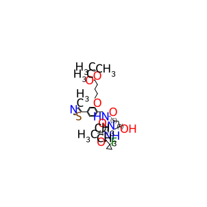 Cc1ncsc1-c1ccc(CNC(=O)[C@@H]2C[C@@H](O)CN2C(=O)[C@@H](NC(=O)C2(F)CC2)C(C)(C)C)c(OCCCCC(=O)OC(C)(C)C)c1